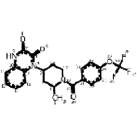 CC1CC(n2c(=O)c(=O)[nH]c3ccccc32)CCN1C(=O)c1ccc(OC(F)(F)F)cc1